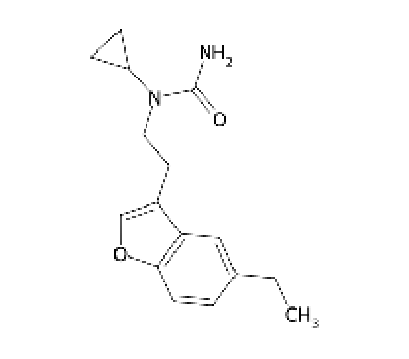 CCc1ccc2occ(CCN(C(N)=O)C3CC3)c2c1